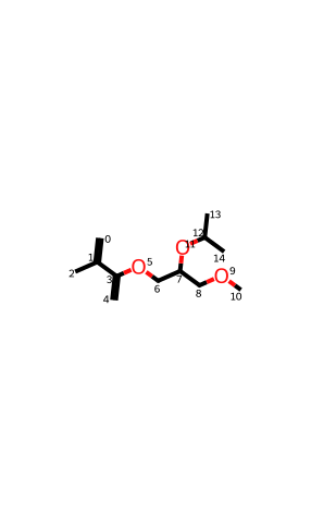 C=C(C)C(=C)OCC(COC)OC(C)C